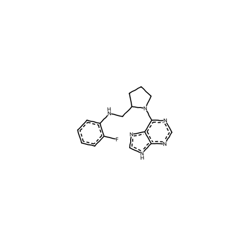 Fc1ccccc1NCC1CCCN1c1ncnc2[nH]cnc12